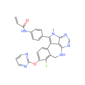 C=CC(=O)Nc1ccc(-c2c3c4c(ncnc4n2C)NCc2c-3ccc(Oc3ncccn3)c2F)cc1